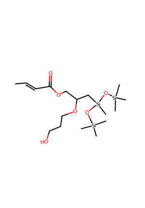 CC=CC(=O)OCC(C[Si](C)(O[Si](C)(C)C)O[Si](C)(C)C)OCCCO